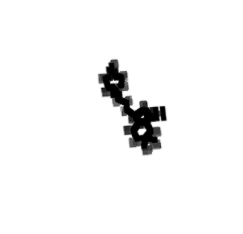 CN1CCN(CCCc2c[nH]c3c2CCC(C)(C)C3)CC1